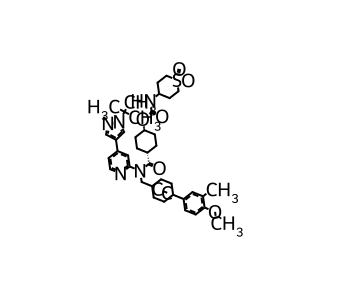 COc1ccc(C23CCC(CN(c4cc(-c5cnn(C(C)(C)C)c5)ccn4)C(=O)[C@H]4CC[C@H](OC(=O)NC5CCS(=O)(=O)CC5)CC4)(CC2)CC3)cc1C